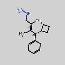 C/C(CNN)=C(/C)[C@@H](C1=CCC=CC1)C1CCC1